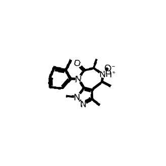 Cc1ccccc1N1C(=O)C(C)[NH+]([O-])C(C)c2c(C)nn(C)c21